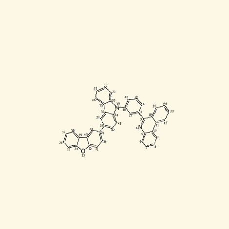 c1cc(-c2nc3ccccc3c3ccccc23)cc(-n2c3ccccc3c3cc(-c4ccc5oc6ccccc6c5c4)ccc32)c1